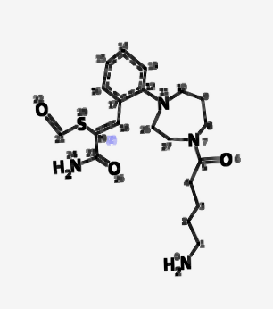 NCCCCC(=O)N1CCCN(c2ccccc2/C=C(\SC=O)C(N)=O)CC1